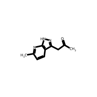 CC(=O)Cc1n[nH]c2nc(C)ccc12